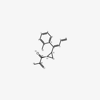 C=C/C=C(\c1ccccc1C)C1C[C@H]1C(=O)C(=C)C